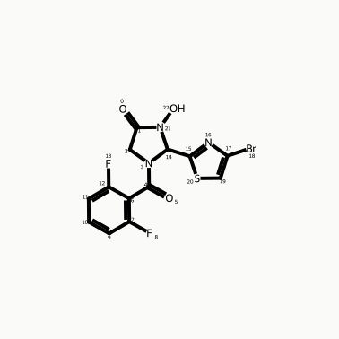 O=C1CN(C(=O)c2c(F)cccc2F)C(c2nc(Br)cs2)N1O